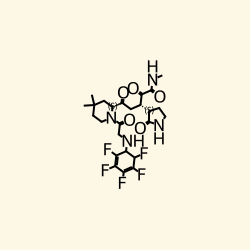 CNC(=O)C(=O)C(CC(=O)[C@@H]1CC(C)(C)CCN1C(=O)CNC1C(F)=C(F)C(F)=C(F)C1F)[C@@H]1CCNC1=O